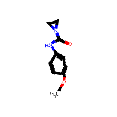 COc1ccc(NC(=O)N2CC2)cc1